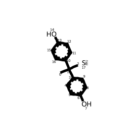 CC(C)(c1ccc(O)cc1)c1ccc(O)cc1.[Si]